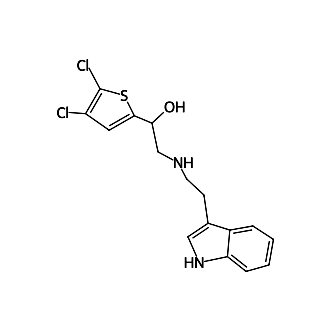 OC(CNCCc1c[nH]c2ccccc12)c1cc(Cl)c(Cl)s1